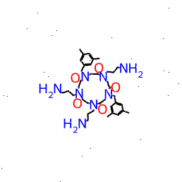 Cc1cc(C)cc(CN2CC(=O)N(CCCN)CC(=O)N(CCCN)CC(=O)N(Cc3cc(C)cc(C)c3)CC(=O)N(CCCN)CC2=O)c1